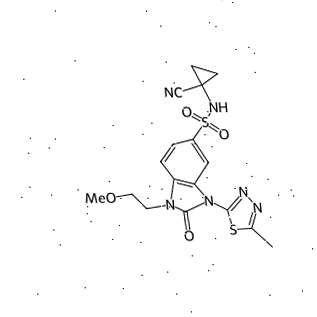 COCCn1c(=O)n(-c2nnc(C)s2)c2cc(S(=O)(=O)NC3(C#N)CC3)ccc21